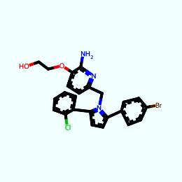 Nc1nc(Cn2c(-c3ccc(Br)cc3)ccc2-c2ccccc2Cl)ccc1OCCO